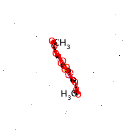 CCC1(COCCCCOc2ccc(/C=C/C(=O)Oc3ccc(S(=O)(=O)c4ccc(OC(=O)/C=C/c5ccc(OCCCCOCC6(CC)COC6)cc5)cc4)cc3)cc2)COC1